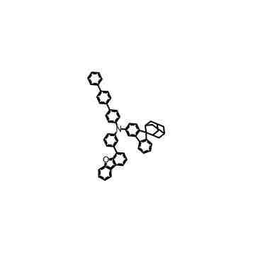 c1ccc(-c2ccc(-c3ccc(N(c4cccc(-c5cccc6c5oc5ccccc56)c4)c4ccc5c(c4)-c4ccccc4C54C5CC6CC(C5)CC4C6)cc3)cc2)cc1